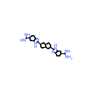 N=C(N)c1ccc2nc(-c3ccc4cc(-c5nc6ccc(C(=N)N)cc6[nH]5)ccc4c3)[nH]c2c1